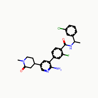 CC(NC(=O)c1ccc(-c2cc(C3CCN(C)C(=O)C3)cnc2N)cc1F)c1cccc(Cl)c1